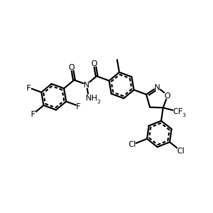 Cc1cc(C2=NOC(c3cc(Cl)cc(Cl)c3)(C(F)(F)F)C2)ccc1C(=O)N(N)C(=O)c1cc(F)c(F)cc1F